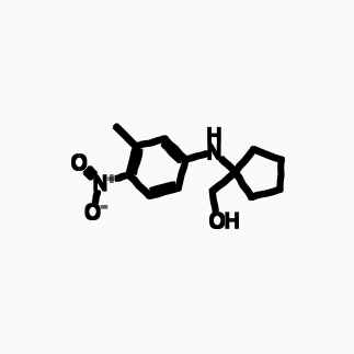 Cc1cc(NC2(CO)CCCC2)ccc1[N+](=O)[O-]